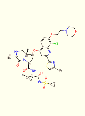 CC[C@@H]1C[C@]1(NC(=O)[C@@H]1C[C@@H](Oc2cc(-c3nc(C(C)C)cs3)nc3c(Cl)c(OCCN4CCOCC4)ccc23)[C@H]2CN[C@H]([C@H](C)CC)C(=O)N21)C(=O)NS(=O)(=O)C1CC1